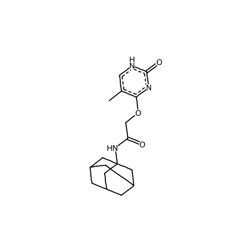 Cc1c[nH]c(=O)nc1OCC(=O)NC12CC3CC(CC(C3)C1)C2